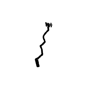 C=CCCCCC[NH]